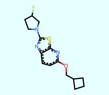 FC1CCN(c2nc3ccc(OCC4CCC4)nc3s2)C1